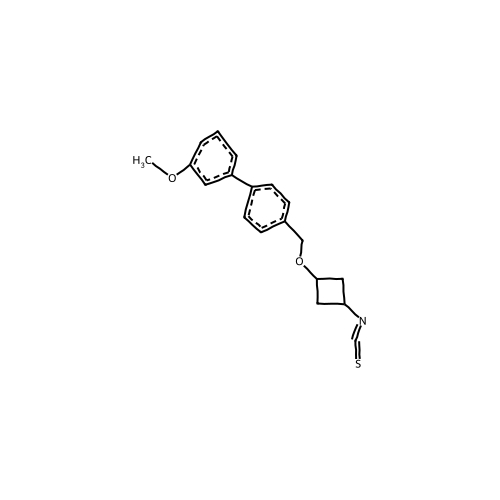 COc1cccc(-c2ccc(COC3CC(N=C=S)C3)cc2)c1